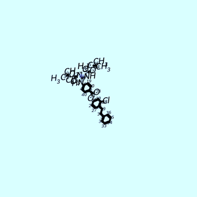 CC(C)(C)OC(=O)/N=C(/NC(=O)OC(C)(C)C)Nc1ccc(C(=O)Oc2ccc(CCc3ccccc3)c(Cl)c2)cc1